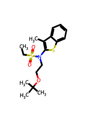 CCS(=O)(=O)N(CCOC(C)(C)C)c1sc2ccccc2c1C